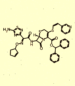 Nc1nc(C(=NOC2C=CCC2)C(=O)NC2C(=O)N3C(C(=O)OC(c4ccccc4)c4ccccc4)=C(S/C=C\c4cccnc4)CS[C@@H]23)ns1